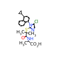 CC(NC(=O)C(C)(C)Sc1ncc(Cl)n1-c1ccc(C2CC2)c2ccccc12)C(=O)O